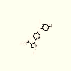 NC(=O)c1c[nH]nc1-c1ccc(Oc2ccc(F)cc2F)cc1